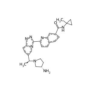 C[C@@H](c1ccc2nnc(-c3ccc4ccc(C(=O)NC5(C)CC5)cc4n3)n2c1)N1CC[C@H](N)C1